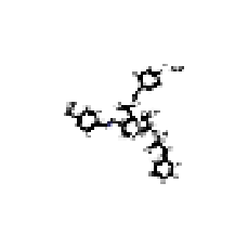 COc1ccc(COC(=O)C2=C(/C=C/c3ccc(CBr)cc3)CSC3[C@H](NC(=O)Cc4ccccc4)C(=O)N23)cc1